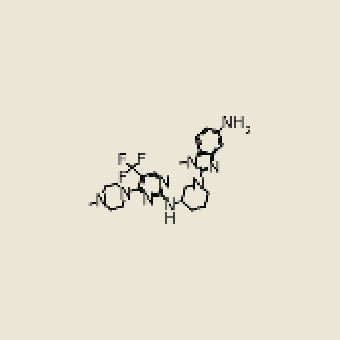 CN1CCN(c2nc(N[C@@H]3CCCN(c4nc5cc(N)ccc5n4C)C3)ncc2C(F)(F)F)CC1